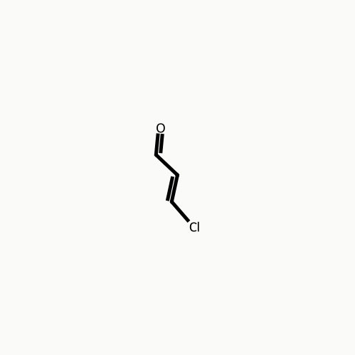 O=CC=CCl